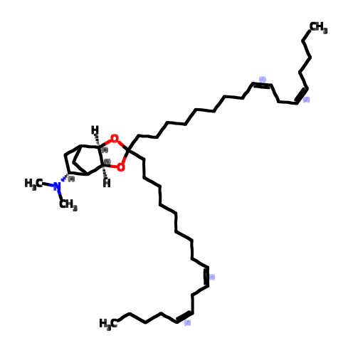 CCCC/C=C\C/C=C\CCCCCCCCC1(CCCCCCCC/C=C\C/C=C\CCCC)O[C@@H]2C3CC([C@H](N(C)C)C3)[C@@H]2O1